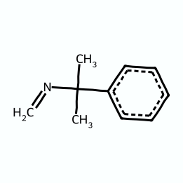 C=NC(C)(C)c1ccccc1